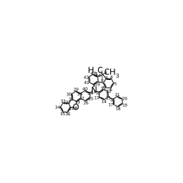 CC1(C)c2ccccc2-c2c(N(c3ccc(-c4ccccc4)cc3)c3ccc4c(ccc5c6ccccc6oc45)c3)cccc21